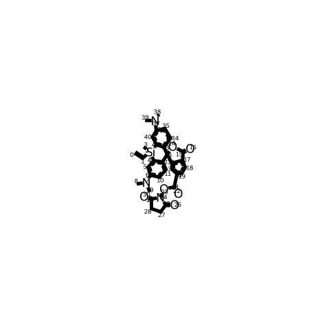 C=C[Si]1(C)c2cc(N(C)C)ccc2C2(OC(=O)c3ccc(C(=O)ON4C(=O)CCC4=O)cc32)c2ccc(N(C)C)cc21